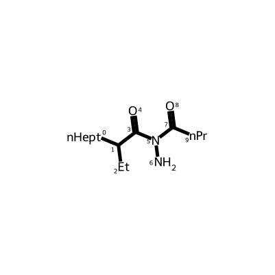 CCCCCCCC(CC)C(=O)N(N)C(=O)CCC